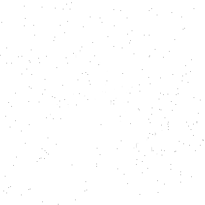 CCCCCc1cc(O)cc(O)c1S(=O)(=O)NC(=O)c1ccc(C(F)(F)F)cc1